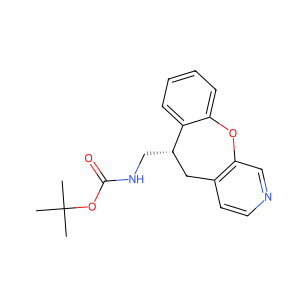 CC(C)(C)OC(=O)NC[C@H]1Cc2ccncc2Oc2ccccc21